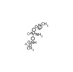 Cc1ccnc(Oc2ccc3c(c2)c(N)c(-c2ccc(NC(=O)O[C@H](C)C4CC4)cc2)n3C2CCC2)n1